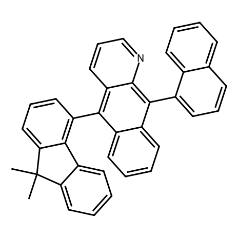 CC1(C)c2ccccc2-c2c(-c3c4ccccc4c(-c4cccc5ccccc45)c4ncccc34)cccc21